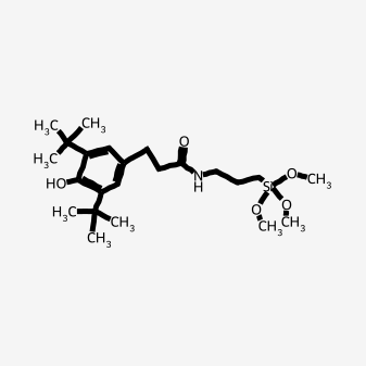 CO[Si](CCCNC(=O)CCc1cc(C(C)(C)C)c(O)c(C(C)(C)C)c1)(OC)OC